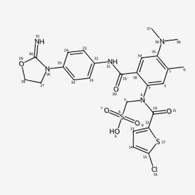 Cc1cc(N(CS(=O)(=O)O)C(=O)c2ccc(Cl)s2)c(C(=O)Nc2ccc(N3CCOC3=N)cc2)cc1N(C)C